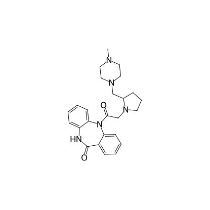 CN1CCN(CC2CCCN2CC(=O)N2c3ccccc3NC(=O)c3ccccc32)CC1